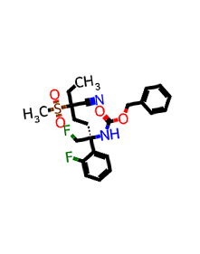 CCC(C#N)(CC[C@](CF)(NC(=O)OCc1ccccc1)c1ccccc1F)S(C)(=O)=O